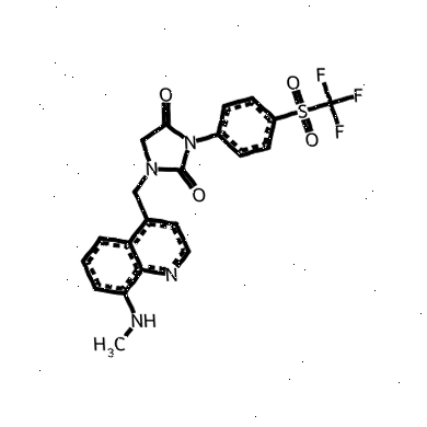 CNc1cccc2c(CN3CC(=O)N(c4ccc(S(=O)(=O)C(F)(F)F)cc4)C3=O)ccnc12